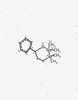 C[Si]1(C)CCC(c2ccccc2)O[Si]1(C)C